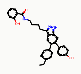 CCc1ccc(-c2cc3c(CCCCNC(=O)c4ccccc4O)n[nH]c3cc2-c2ccc(O)cc2)cc1